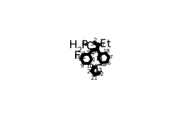 CCc1c[c-](P)c(C2CCCCC2)c1C1CCCCC1.[Fe+2].c1cc[cH-]c1